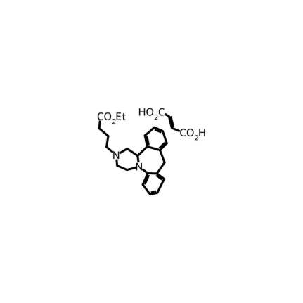 CCOC(=O)CCCN1CCN2c3ccccc3Cc3ccccc3C2C1.O=C(O)C=CC(=O)O